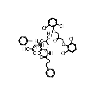 CC(C)C[C@H](NC(=O)OCc1ccccc1)C(=O)N[C@@H](Cc1ccccc1)C(=O)O.O=C(COc1c(Cl)cccc1Cl)COc1c(Cl)cccc1Cl